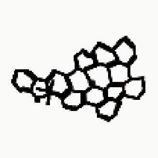 CC(C)(C)c1ccc(-c2ccccc2)c(N(c2ccccc2-c2ccc3oc4ccccc4c3c2)c2ccccc2-c2cccc3cccc(C4CCCCC4)c23)c1